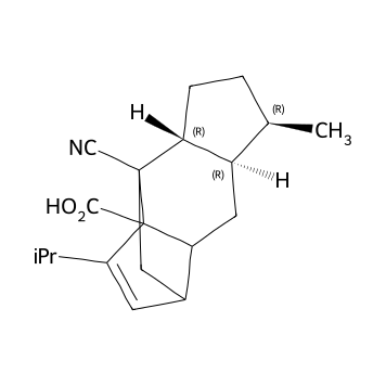 CC(C)C1=CC2CC3(C#N)[C@@H]4CC[C@@H](C)[C@H]4CC2C13C(=O)O